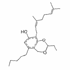 CCCCCc1cc(O)c(CC=C(C)CCC=C(C)C)c2c1COC(CC)O2